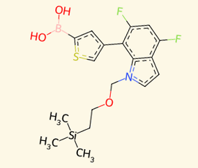 C[Si](C)(C)CCOCn1ccc2c(F)cc(F)c(-c3csc(B(O)O)c3)c21